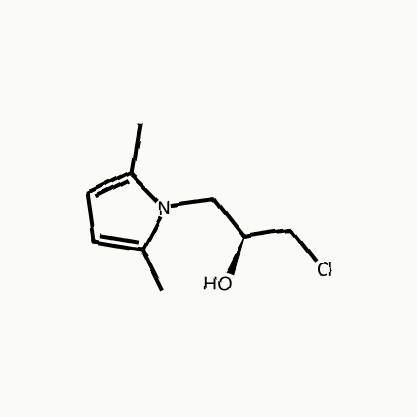 Cc1ccc(C)n1C[C@H](O)CCl